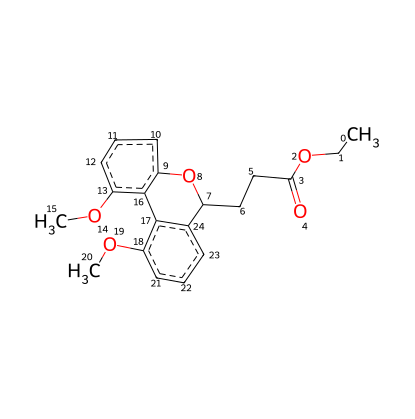 CCOC(=O)CCC1Oc2cccc(OC)c2-c2c(OC)cccc21